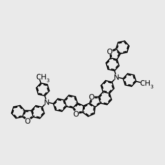 Cc1ccc(N(c2ccc3c(ccc4c5ccc6oc7c8ccc(N(c9ccc(C)cc9)c9ccc%10oc%11ccccc%11c%10c9)cc8ccc7c6c5oc34)c2)c2ccc3oc4ccccc4c3c2)cc1